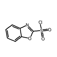 O=S(=O)(Cl)c1nc2ccccc2o1